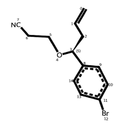 C=CC[C@H](OCCC#N)c1ccc(Br)cc1